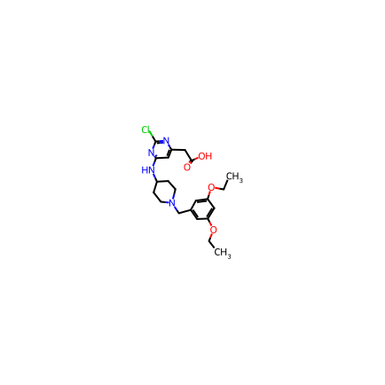 CCOc1cc(CN2CCC(Nc3cc(CC(=O)O)nc(Cl)n3)CC2)cc(OCC)c1